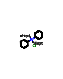 CCCCCCC[N+](CCCCCCC)(c1ccccc1)c1ccccc1.[Cl-]